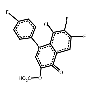 O=C(O)Oc1cn(-c2ccc(F)cc2)c2c(Cl)c(F)c(F)cc2c1=O